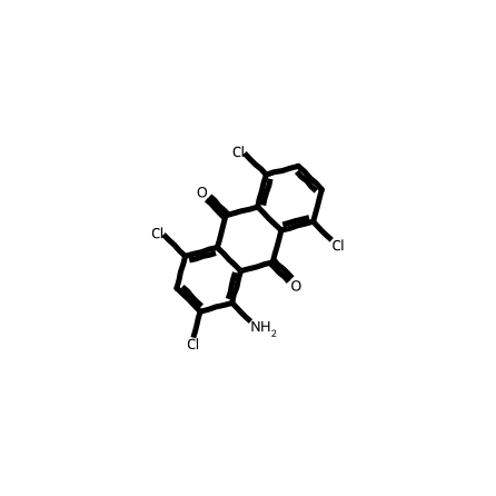 Nc1c(Cl)cc(Cl)c2c1C(=O)c1c(Cl)ccc(Cl)c1C2=O